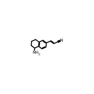 N#CC=Cc1ccc2c(c1)CCCC2N